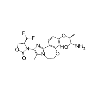 Cc1c(N2C(=O)OC[C@H]2C(F)F)nc2n1CCOc1cc(O[C@@H](C)C(N)O)ccc1-2